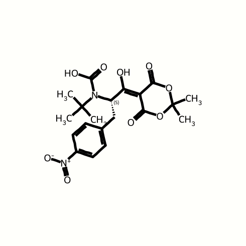 CC1(C)OC(=O)C(=C(O)[C@H](Cc2ccc([N+](=O)[O-])cc2)N(C(=O)O)C(C)(C)C)C(=O)O1